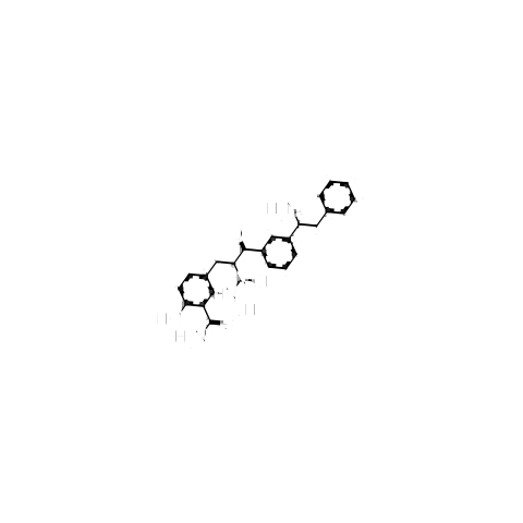 CNN(C)C(Cc1ccc(O)c(C(N)=O)c1)C(=O)c1cccc([C](N)Cc2ccccc2)c1